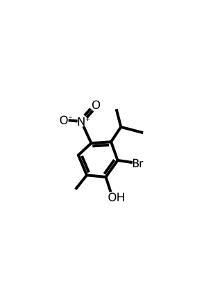 Cc1cc([N+](=O)[O-])c(C(C)C)c(Br)c1O